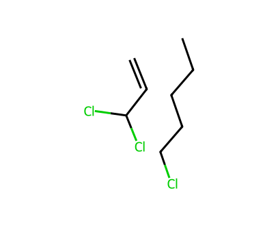 C=CC(Cl)Cl.CCCCCCl